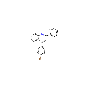 Brc1ccc(-c2cc(-c3ccccc3)nc3ccccc23)cc1